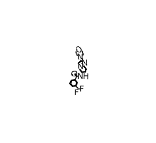 O=C(Nc1ccc2nc(N3CCOCC3)cn2c1)c1cccc(C(F)F)c1